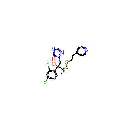 C[C@@H](SSCCc1ccncc1)[C@](O)(Cn1cncn1)c1ccc(F)cc1F